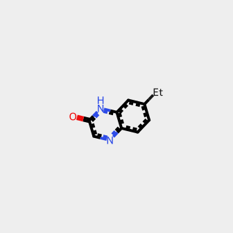 CCc1ccc2ncc(=O)[nH]c2c1